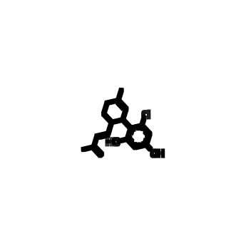 C=C(C)C=CC1CCC(C)=CC1c1c(O)cc(O)cc1Cl